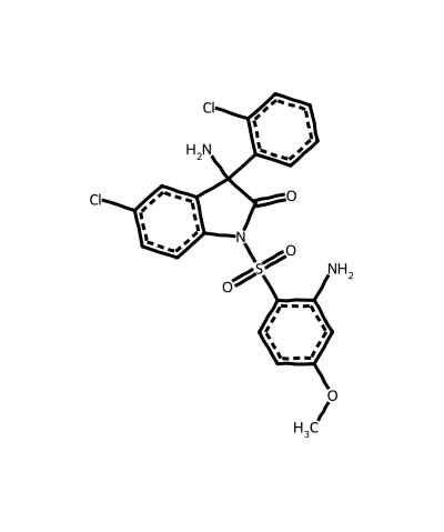 COc1ccc(S(=O)(=O)N2C(=O)C(N)(c3ccccc3Cl)c3cc(Cl)ccc32)c(N)c1